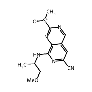 COC[C@H](C)Nc1nc(C#N)cc2cnc([S+](C)[O-])nc12